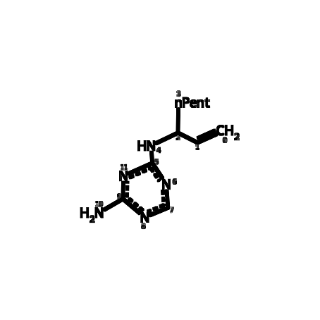 C=CC(CCCCC)Nc1ncnc(N)n1